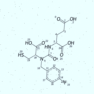 O=C(O)CCC(NC(=O)N(Cc1ccc([18F])cc1)C(CS)C(=O)O)C(=O)O